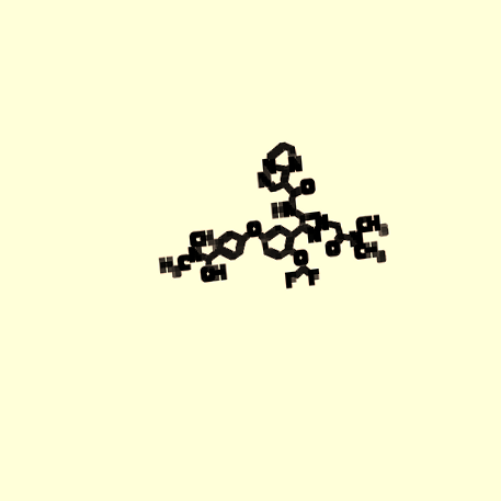 CN(C)C(=O)Cn1cc(NC(=O)c2cnn3cccnc23)c(-c2cc(Oc3ccc(C(O)N(C)C)cc3)ccc2OC(F)F)n1